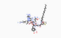 CCCCCCCCCCCCCCCC(=O)N[C@@H](CCSC)C(=O)NCC(=O)N[C@@H](Cc1ccc(O)cc1)C(=O)N[C@@H](CCC(N)=O)C(=O)N[C@@H](CCCCN)C(=O)N[C@@H](CCCCN)C(C)=O